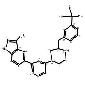 Cc1n[nH]c2ccc(-c3nncc(N4CCNC(Cc5cccc(C(F)(F)F)c5)C4)n3)cc12